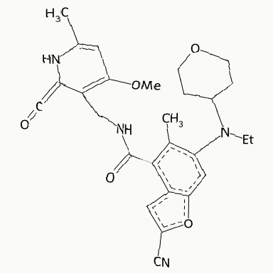 CCN(c1cc2oc(C#N)cc2c(C(=O)NCC2=C(OC)C=C(C)NC2=C=O)c1C)C1CCOCC1